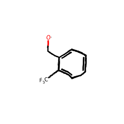 [O]Cc1ccccc1C(F)(F)F